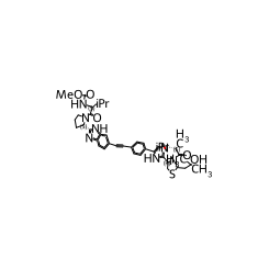 COC(=O)N[C@H](C(=O)N1CCC[C@H]1c1nc2ccc(C#Cc3ccc(-c4cnc([C@@H]5CSC(CC(C)(C)O)N5C(=O)[C@@H](C)C(C)C)[nH]4)cc3)cc2[nH]1)C(C)C